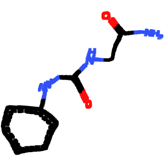 NC(=O)CNC(=O)Nc1ccccc1